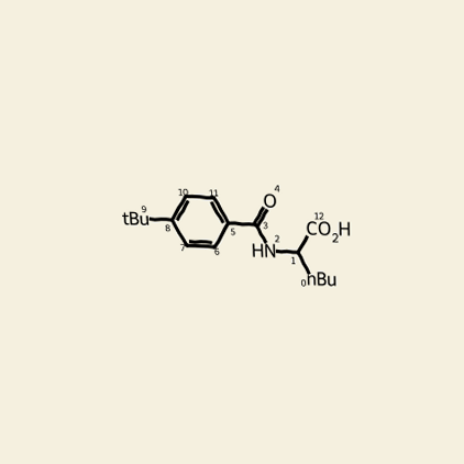 [CH2]CCCC(NC(=O)c1ccc(C(C)(C)C)cc1)C(=O)O